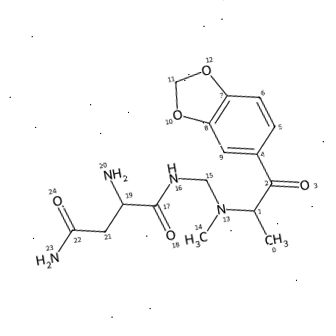 CC(C(=O)c1ccc2c(c1)OCO2)N(C)CNC(=O)C(N)CC(N)=O